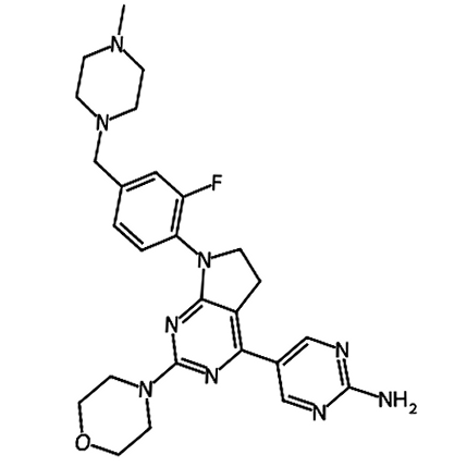 CN1CCN(Cc2ccc(N3CCc4c(-c5cnc(N)nc5)nc(N5CCOCC5)nc43)c(F)c2)CC1